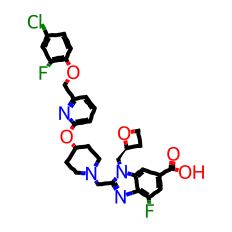 O=C(O)c1cc(F)c2nc(CN3CCC(Oc4cccc(COc5ccc(Cl)cc5F)n4)CC3)n(C[C@@H]3CCO3)c2c1